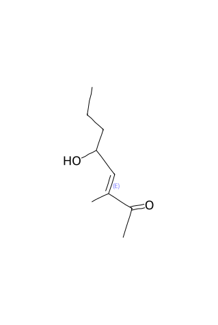 CCCC(O)/C=C(\C)C(C)=O